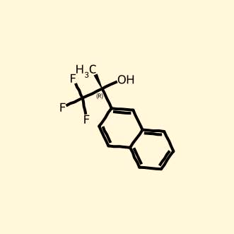 C[C@@](O)(c1ccc2ccccc2c1)C(F)(F)F